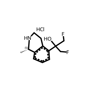 C[C@@H]1NCCc2c1cccc2C(O)(CF)CF.Cl